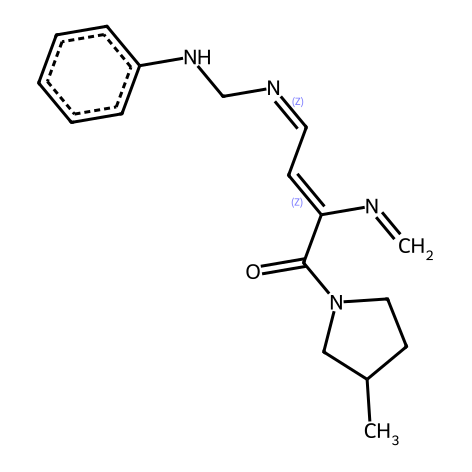 C=N/C(=C\C=N/CNc1ccccc1)C(=O)N1CCC(C)C1